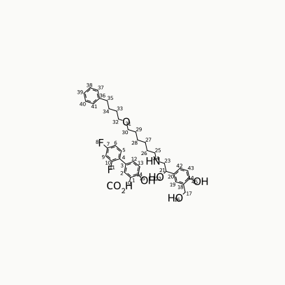 O=C(O)c1cc(-c2ccc(F)cc2F)ccc1O.OCc1cc(C(O)CNCCCCCCOCCCCc2ccccc2)ccc1O